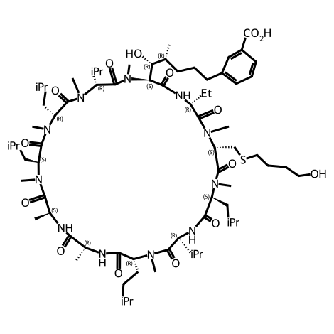 CC[C@H]1NC(=O)[C@H]([C@H](O)[C@H](C)CCCc2cccc(C(=O)O)c2)N(C)C(=O)[C@@H](C(C)C)N(C)C(=O)[C@@H](CC(C)C)N(C)C(=O)[C@H](CC(C)C)N(C)C(=O)[C@H](C)NC(=O)[C@@H](C)NC(=O)[C@@H](CCC(C)C)N(C)C(=O)[C@@H](C(C)C)NC(=O)[C@H](CC(C)C)N(C)C(=O)[C@@H](CSCCCCO)N(C)C1=O